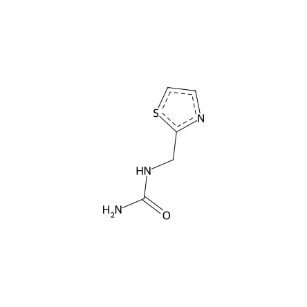 NC(=O)NCc1nccs1